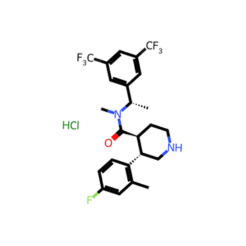 Cc1cc(F)ccc1[C@H]1CNCC[C@@H]1C(=O)N(C)[C@@H](C)c1cc(C(F)(F)F)cc(C(F)(F)F)c1.Cl